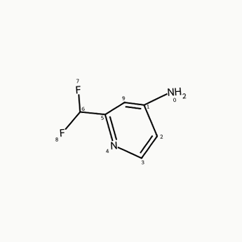 Nc1ccnc(C(F)F)c1